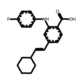 O=C(O)c1ccc(/C=C/C2CCCCC2)cc1Nc1ccc(F)cc1